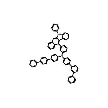 c1cccc(-c2cccc(-c3ccc(N(c4ccc(-c5ccc(-c6ccccc6)cc5)cc4)c4cccc(-c5c6ccccc6cc6c5c5ccccc5n6-c5ccccc5)c4)cc3)c2)c#1